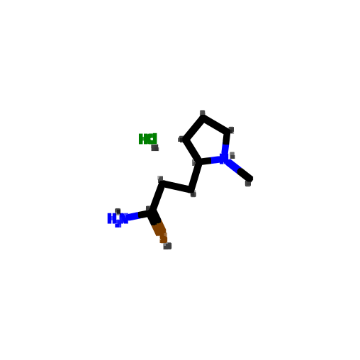 CN1CCCC1CCC(N)=S.Cl